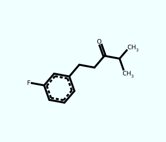 CC(C)C(=O)CCc1cccc(F)c1